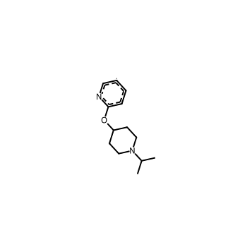 CC(C)N1CCC(Oc2cc[c]cn2)CC1